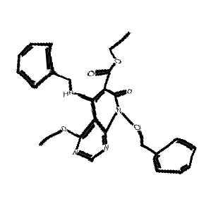 CCOC(=O)c1c(NCc2ccccc2)c2c(OC)ncnc2n(OCc2ccccc2)c1=O